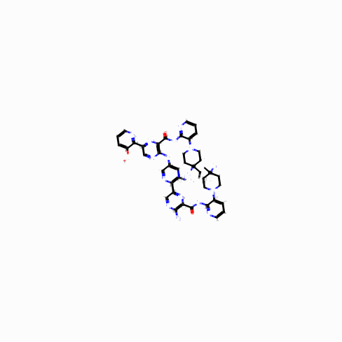 COCC1(N)CCN(c2cccnc2NC(=O)c2nc(-c3ncccc3OC(F)(F)F)cnc2Nc2cnc(-c3cnc(N)c(C(=O)Nc4ncccc4N4CCC(C)(N)CC4)n3)c(C#N)c2)CC1